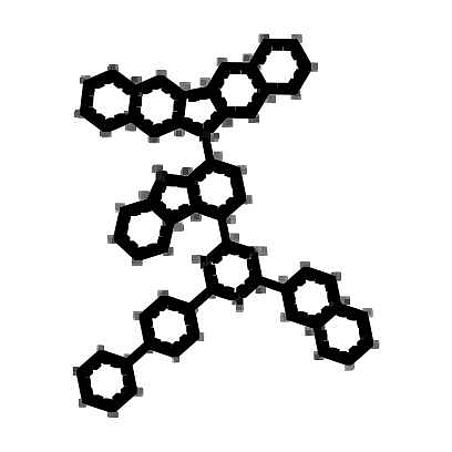 c1ccc(-c2ccc(-c3nc(-c4ccc5ccccc5c4)nc(-c4ccc(-n5c6cc7ccccc7cc6c6cc7ccccc7cc65)c5oc6ccccc6c45)n3)cc2)cc1